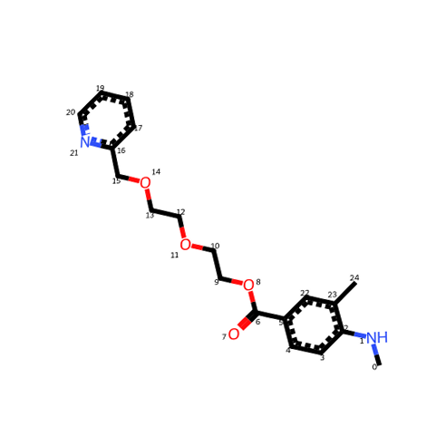 CNc1ccc(C(=O)OCCOCCOCc2ccccn2)cc1C